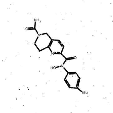 CC(C)(C)c1ccc(N(O)C(=O)c2ccc3c(n2)CCN(C(N)=O)C3)cc1